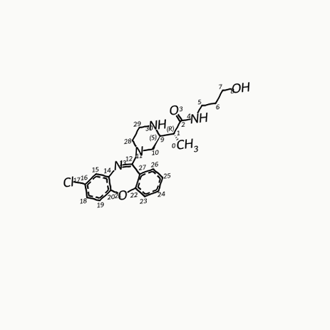 C[C@@H](C(=O)NCCCO)[C@H]1CN(C2=Nc3cc(Cl)ccc3Oc3ccccc32)CCN1